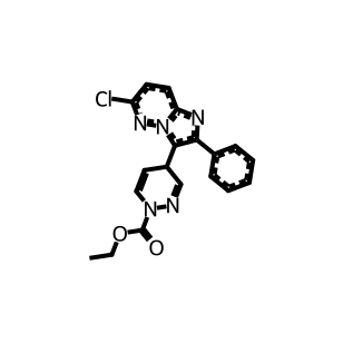 CCOC(=O)N1C=CC(c2c(-c3ccccc3)nc3ccc(Cl)nn23)C=N1